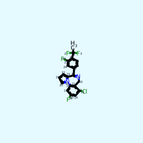 CC(F)(F)c1ccc(C2=NCc3c(Cl)cc(F)cc3-n3cccc32)cc1F